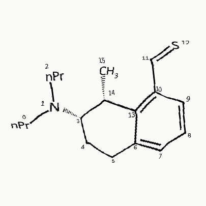 CCCN(CCC)[C@H]1CCc2cccc(C=S)c2[C@H]1C